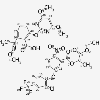 CCOC(=O)C(C)OC(=O)c1cc(Oc2ccc(C(F)(F)F)cc2Cl)ccc1[N+](=O)[O-].CON=C(C)c1cccc(Oc2nc(OC)cc(OC)n2)c1C(=O)O